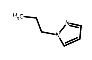 CCCn1cccn1